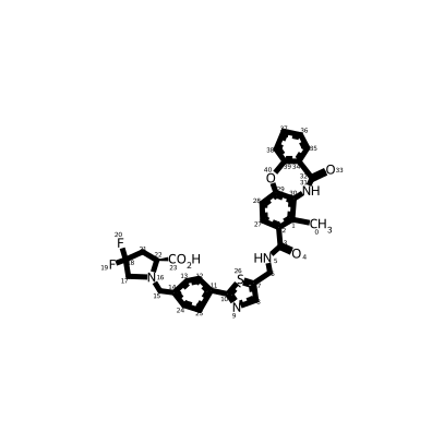 Cc1c(C(=O)NCc2cnc(-c3ccc(CN4CC(F)(F)C[C@H]4C(=O)O)cc3)s2)ccc2c1NC(=O)c1ccccc1O2